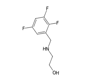 OCCNCc1cc(F)cc(F)c1F